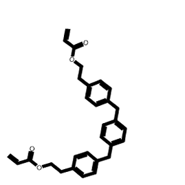 C=CC(=O)OCCc1ccc(Cc2ccc(Cc3ccc(CCOC(=O)C=C)cc3)cc2)cc1